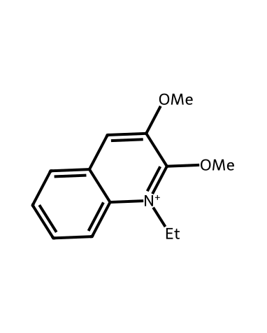 CC[n+]1c(OC)c(OC)cc2ccccc21